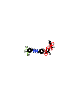 C=CC(=O)OC(C)OC(=O)C(C)C(=O)Oc1ccc(/C=N/N=C/c2cc(F)c(F)c(F)c2)cc1